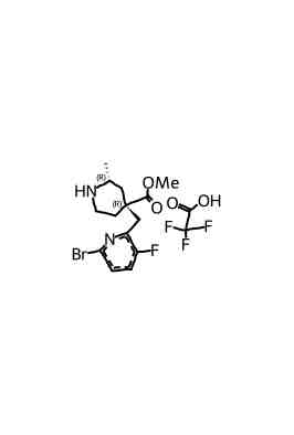 COC(=O)[C@]1(Cc2nc(Br)ccc2F)CCN[C@H](C)C1.O=C(O)C(F)(F)F